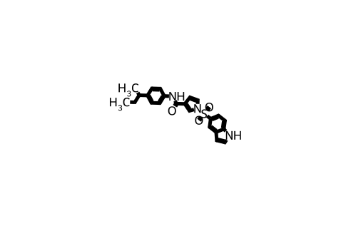 CCC(C)c1ccc(NC(=O)c2ccn(S(=O)(=O)c3ccc4[nH]ccc4c3)c2)cc1